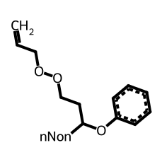 C=CCOOCCC(CCCCCCCCC)Oc1ccccc1